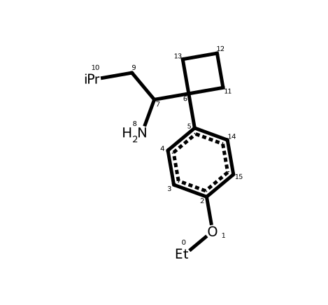 CCOc1ccc(C2(C(N)CC(C)C)CCC2)cc1